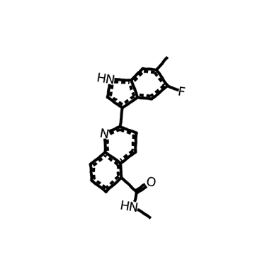 CNC(=O)c1cccc2nc(-c3c[nH]c4cc(C)c(F)cc34)ccc12